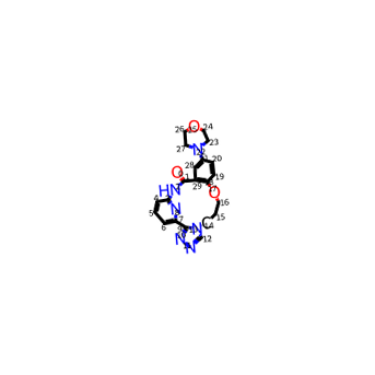 O=C1Nc2cccc(n2)-c2nncn2CCCOc2ccc(N3CCOCC3)cc21